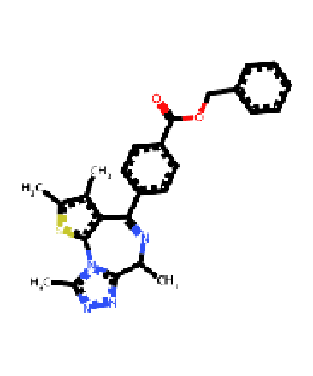 Cc1sc2c(c1C)C(c1ccc(C(=O)OCc3ccccc3)cc1)=NC(C)c1nnc(C)n1-2